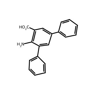 Nc1c(C(=O)O)cc(-c2ccccc2)cc1-c1ccccc1